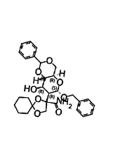 NC(=O)C1([C@@H]2[C@@H](OCc3ccccc3)O[C@@H]3COC(c4ccccc4)O[C@H]3[C@@H]2O)COC2(CCCCC2)O1